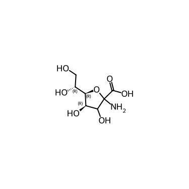 NC1(C(=O)O)O[C@H]([C@H](O)CO)[C@H](O)C1O